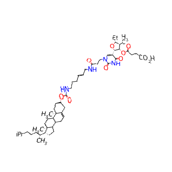 CC[C@H]1O[C@@H](c2cn(CCC(=O)NCCCCCCNC(=O)O[C@H]3CC[C@@]4(C)C(=CCC5C4CC[C@@]4(C)C5CC[C@@H]4[C@H](C)CCCC(C)C)C3)c(=O)[nH]c2=O)[C@@H](OC(=O)CCC(=O)O)C1C